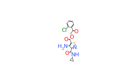 Nc1c(C(=O)NC2CC2)nsc1C(=O)OCC(=O)c1ccccc1Cl